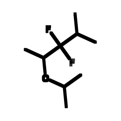 CC(C)OC(C)C(F)(F)C(C)C